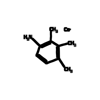 Cc1ccc(N)c(C)c1C.[Co]